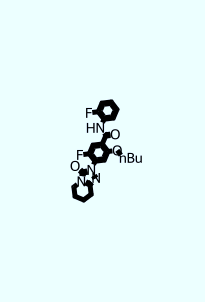 CCCCOc1cc(-n2nc3n(c2=O)CCCC3)c(F)cc1C(=O)Nc1ccccc1F